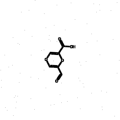 O=CC1=COC=C(C(=O)O)O1